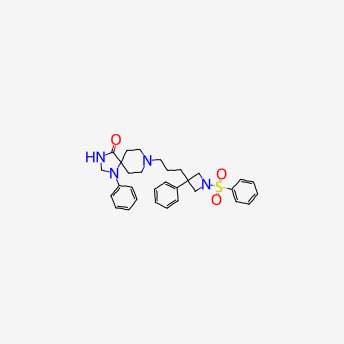 O=C1NCN(c2ccccc2)C12CCN(CCCC1(c3ccccc3)CN(S(=O)(=O)c3ccccc3)C1)CC2